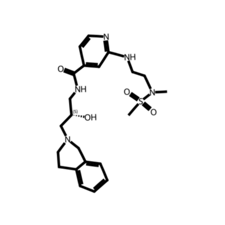 CN(CCNc1cc(C(=O)NC[C@H](O)CN2CCc3ccccc3C2)ccn1)S(C)(=O)=O